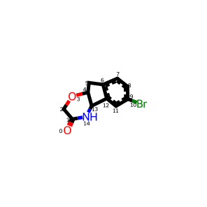 O=C1COC2Cc3ccc(Br)cc3C2N1